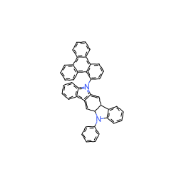 C1=c2c(n(-c3cccc4c5ccccc5c5ccccc5c34)c3ccccc23)=CC2c3ccccc3N(c3ccccc3)C12